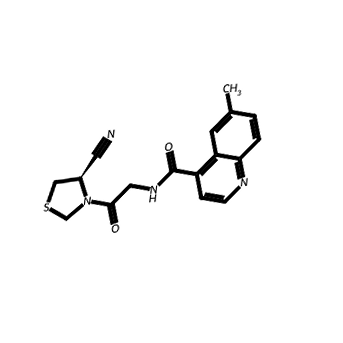 Cc1ccc2nccc(C(=O)NCC(=O)N3CSC[C@H]3C#N)c2c1